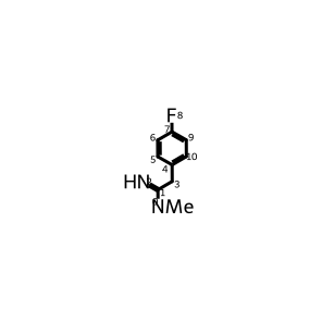 CNC(=N)Cc1ccc(F)cc1